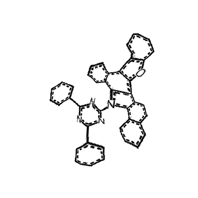 c1ccc(-c2nc(-c3ccccc3)nc(-n3c4c5ccccc5ccc4c4c5oc6ccccc6c5c5ccccc5c43)n2)cc1